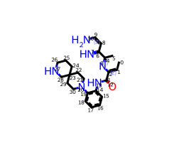 C/C=C(\N=C(/C)C(=N)/C=C\N)C(=O)Nc1ccccc1N1CCC2(CCCNC2)CC1